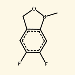 CB1OCc2cc(F)c(F)cc21